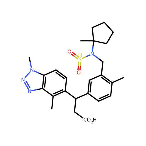 Cc1ccc(C(CC(=O)O)c2ccc3c(nnn3C)c2C)cc1CN([SH](=O)=O)C1(C)CCCC1